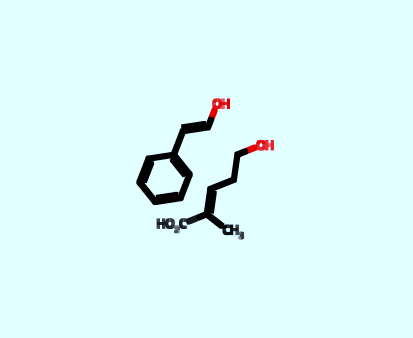 CC(=CCCO)C(=O)O.OC=Cc1ccccc1